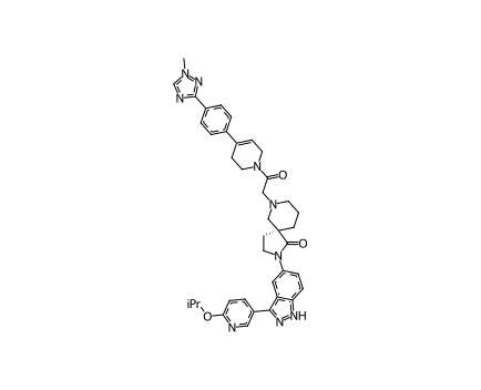 CC(C)Oc1ccc(-c2n[nH]c3ccc(N4CC[C@]5(CCCN(CC(=O)N6CC=C(c7ccc(-c8ncn(C)n8)cc7)CC6)C5)C4=O)cc23)cn1